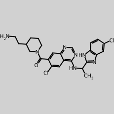 CC(Nc1ncnc2cc(C(=O)N3CCCC(CCN)C3)c(Cl)cc12)c1nc2cc(Cl)ccc2[nH]1